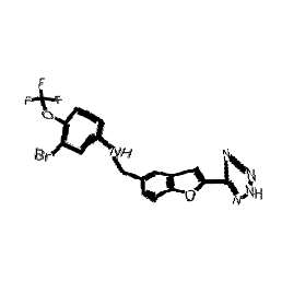 FC(F)(F)Oc1ccc(NCc2ccc3oc(-c4nn[nH]n4)cc3c2)cc1Br